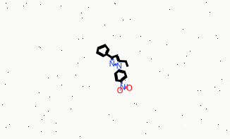 CCc1cc(-c2ccccc2)nn1-c1ccc([N+](=O)[O-])cc1